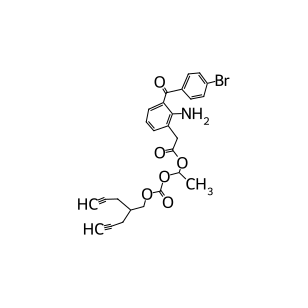 C#CCC(CC#C)COC(=O)OC(C)OC(=O)Cc1cccc(C(=O)c2ccc(Br)cc2)c1N